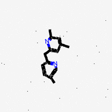 Cc1ccc(Cc2cc(C)cc(C)n2)nc1